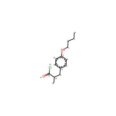 CCCCOc1ccc(CC(C)C(=O)Cl)cc1